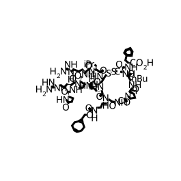 CCCC[C@@H]1NC(=O)[C@@H]2CCCN2C(=O)CNC(=O)[C@H](CCCCNC(=O)OCC2C3CCC#CCCC32)NC(=O)[C@H](Cc2c[nH]cn2)NC(=O)[C@@H](NC(=O)[C@H](CC(C)C)NC(=O)[C@H](CCCNC(=N)N)NC(=O)[C@@H]2CCCN2C(=O)[C@H](CCCNC(=N)N)NC(=O)[C@@H]2CCC(=O)N2)CSSC[C@@H](C(=O)N[C@@H](Cc2ccccc2)C(=O)O)NC1=O